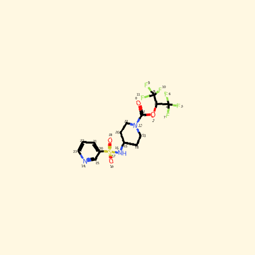 O=C(OC(C(F)(F)F)C(F)(F)F)N1CCC(NS(=O)(=O)c2cccnc2)CC1